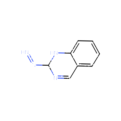 N=NC1N=Cc2ccccc2N1